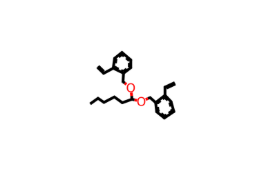 C=Cc1ccccc1COC(CCCCC)OCc1ccccc1C=C